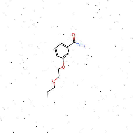 CCCOCCOc1cccc(C(N)=O)c1